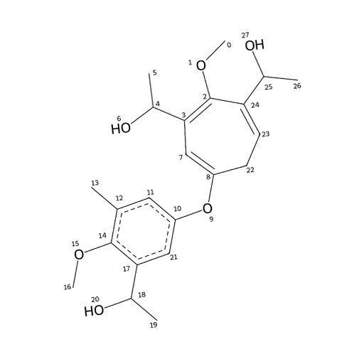 COC1=C(C(C)O)C=C(Oc2cc(C)c(OC)c(C(C)O)c2)CC=C1C(C)O